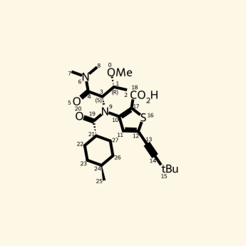 CO[C@H](C)[C@@H](C(=O)N(C)C)N(c1cc(C#CC(C)(C)C)sc1C(=O)O)C(=O)[C@H]1CC[C@H](C)CC1